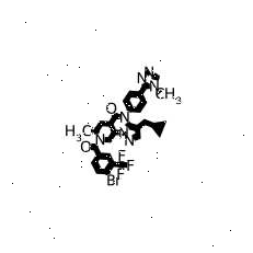 C[C@H]1CC2C(=O)N(c3ccc(-c4nncn4C)cc3)c3c(CC4CC4)cnn3C2CN1C(=O)c1ccc(Br)c(C(F)(F)F)c1